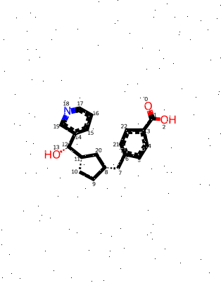 O=C(O)c1ccc(C[C@@H]2CC[C@H]([C@H](O)c3cccnc3)C2)cc1